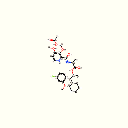 COc1cc(F)ccc1[C@@H](C1CCCCC1)[C@H](C)OC(=O)[C@H](C)NC(=O)c1nccc(OC)c1OCOC(C)=O